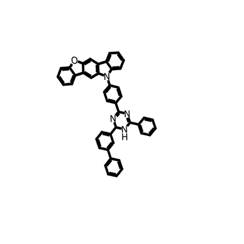 c1ccc(C2=NC(c3ccc(-n4c5ccccc5c5cc6oc7ccccc7c6cc54)cc3)=NC(c3cccc(-c4ccccc4)c3)N2)cc1